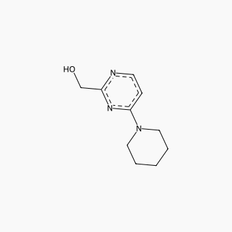 OCc1nccc(N2CCCCC2)n1